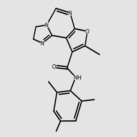 Cc1cc(C)c(NC(=O)c2c(C)oc3c2C2=NCCN2C=N3)c(C)c1